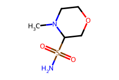 CN1CCOCC1S(N)(=O)=O